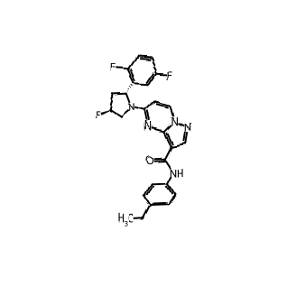 CCc1ccc(NC(=O)c2cnn3ccc(N4C[C@@H](F)C[C@@H]4c4cc(F)ccc4F)nc23)cc1